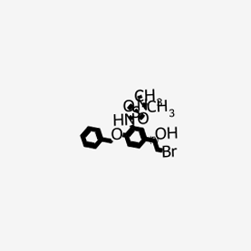 CN(C)S(=O)(=O)Nc1cc([C@@H](O)CBr)ccc1OCc1ccccc1